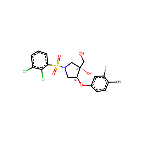 N#Cc1ccc(O[C@H]2CN(S(=O)(=O)c3cccc(Cl)c3Cl)C[C@@]2(O)CO)cc1F